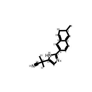 CC1C=c2ccc(-c3ncc(C(C)(C)C#N)[nH]3)cc2=CC1